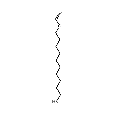 O=COCCCCCCCCCCS